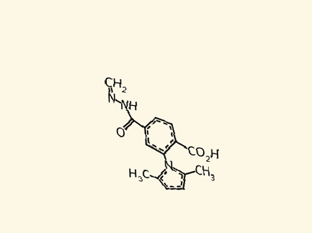 C=NNC(=O)c1ccc(C(=O)O)c(-n2c(C)ccc2C)c1